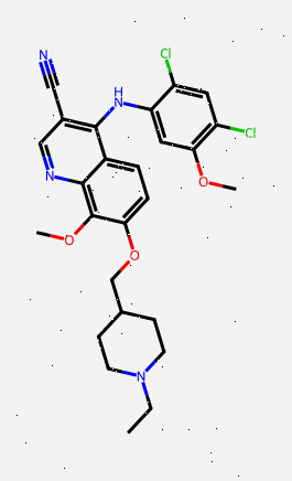 CCN1CCC(COc2ccc3c(Nc4cc(OC)c(Cl)cc4Cl)c(C#N)cnc3c2OC)CC1